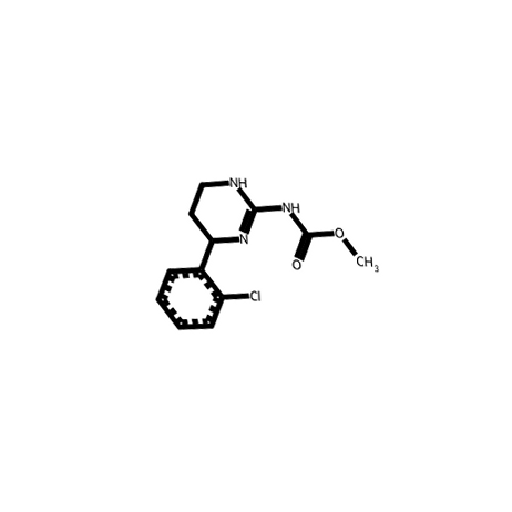 COC(=O)NC1=NC(c2ccccc2Cl)CCN1